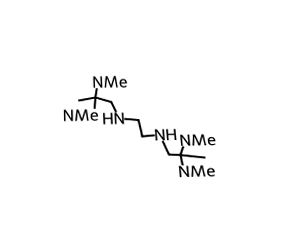 CNC(C)(CNCCNCC(C)(NC)NC)NC